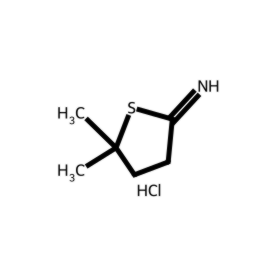 CC1(C)CCC(=N)S1.Cl